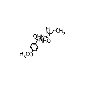 CCCNC(=O)NNC(=O)c1ccc(OC)cc1